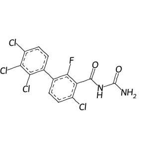 NC(=O)NC(=O)c1c(Cl)ccc(-c2ccc(Cl)c(Cl)c2Cl)c1F